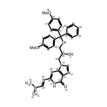 COc1ccc(C(OC[C@@H](O)Cn2cnc3c(=O)[nH]c(/N=C/N(C)C)nc32)(c2ccccc2)c2ccc(OC)cc2)cc1